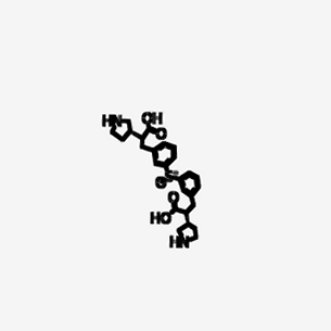 O=C(O)C(Cc1cccc([S+]([O-])c2cccc(CC(C(=O)O)[C@H]3CCNC3)c2)c1)[C@H]1CCNC1